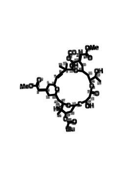 COC(=O)/C=C1\CC2/C=C/C(C)(C)C3(O)OC(C/C(=C\C(=O)OC)C3OC(=O)O)CC(C(C)O)OC(=O)CC(O)CC3CC(OC(=O)C(C)(C)C)C(C)(C)C(O)(CC(C1)O2)O3